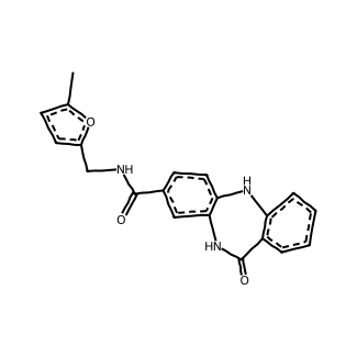 Cc1ccc(CNC(=O)c2ccc3c(c2)NC(=O)c2ccccc2N3)o1